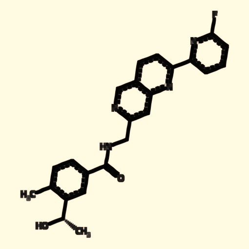 Cc1ccc(C(=O)NCc2cc3nc(-c4cccc(F)n4)ccc3cn2)cc1[C@H](C)O